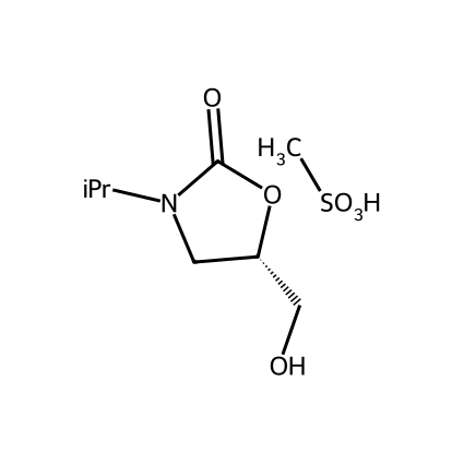 CC(C)N1C[C@@H](CO)OC1=O.CS(=O)(=O)O